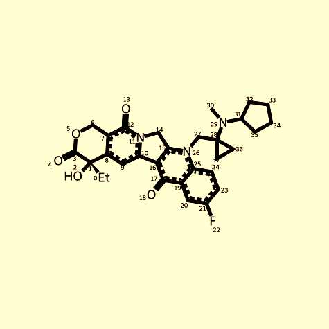 CC[C@@]1(O)C(=O)OCc2c1cc1n(c2=O)Cc2c-1c(=O)c1cc(F)ccc1n2CC1(N(C)C2CCCC2)CC1